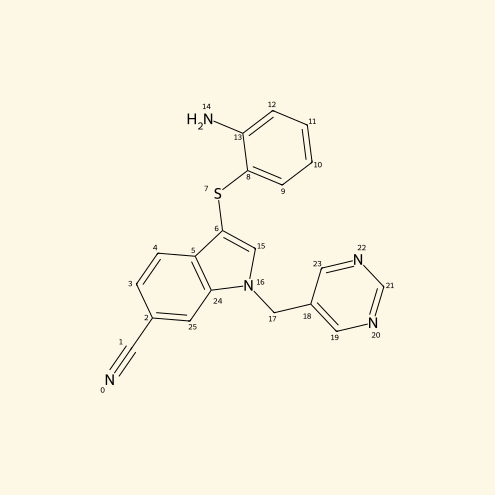 N#Cc1ccc2c(Sc3ccccc3N)cn(Cc3cncnc3)c2c1